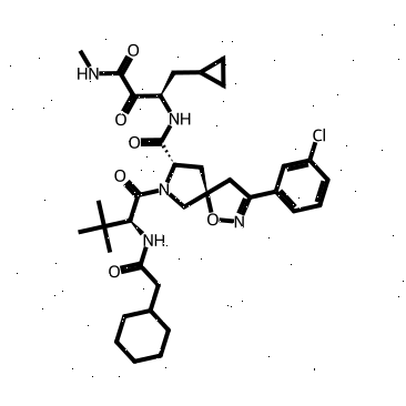 CNC(=O)C(=O)[C@@H](CC1CC1)NC(=O)[C@@H]1C[C@]2(CC(c3cccc(Cl)c3)=NO2)CN1C(=O)[C@@H](NC(=O)CC1CCCCC1)C(C)(C)C